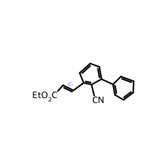 CCOC(=O)/C=C/c1cccc(-c2ccccc2)c1C#N